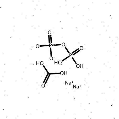 O=C(O)O.O=P([O-])([O-])OP(=O)(O)O.[Na+].[Na+]